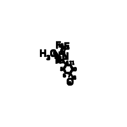 Cn1nc(-c2ccc(C=O)cc2)nc1C(F)F